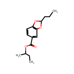 CCCC1Oc2ccc(C(=O)OC(C)CC)cc2O1